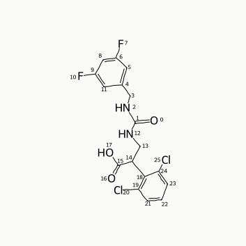 O=C(NCc1cc(F)cc(F)c1)NCC(C(=O)O)c1c(Cl)cccc1Cl